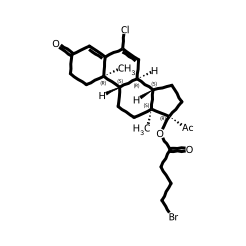 CC(=O)[C@@]1(OC(=O)CCCBr)CC[C@H]2[C@@H]3C=C(Cl)C4=CC(=O)CC[C@]4(C)[C@H]3CC[C@@]21C